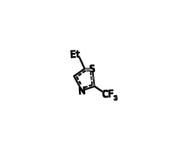 CCc1cnc(C(F)(F)F)s1